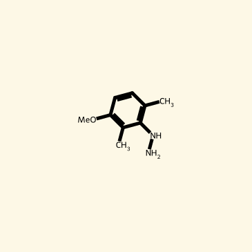 COc1ccc(C)c(NN)c1C